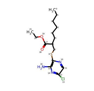 CCCCCCC(CSc1ncc(Cl)nc1N)C(=O)OCC